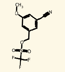 COc1cc(C#N)cc(COS(=O)(=O)C(F)(F)F)c1